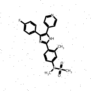 Cc1cc(N(C)S(C)(=O)=O)ccc1-c1nc(-c2ccc(F)cc2)c(-c2ccncc2)[nH]1